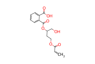 C=CC(=O)OCCC(CO)OC(=O)c1ccccc1C(=O)O